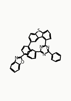 c1ccc(-c2nc(-c3ccccc3)nc(-c3cccc4sc5ccc(-c6ccc(-c7nc8ccccc8o7)cc6)cc5c34)n2)cc1